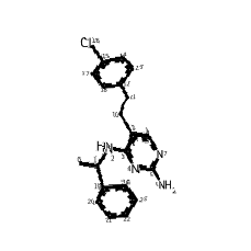 CC(Nc1nc(N)ncc1CCc1ccc(Cl)cc1)c1ccccc1